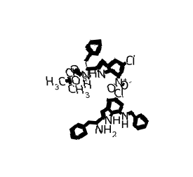 CC(C)(C)OC(=O)N[C@H](Cc1ccccc1)c1cc2cc(Cl)cc([N+](=O)[O-])c2[nH]1.N[C@H](Cc1ccccc1)c1cc2cc(Cl)cc(NCc3ccccc3)c2[nH]1